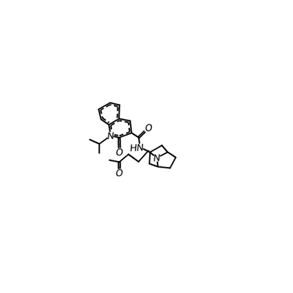 CC(=O)CCCN1C2CCC1CC(NC(=O)c1cc3ccccc3n(C(C)C)c1=O)C2